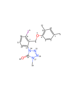 Cc1ccc(OCc2c(I)cccc2-n2nnn(C)c2=O)c(C)c1